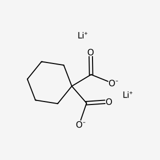 O=C([O-])C1(C(=O)[O-])CCCCC1.[Li+].[Li+]